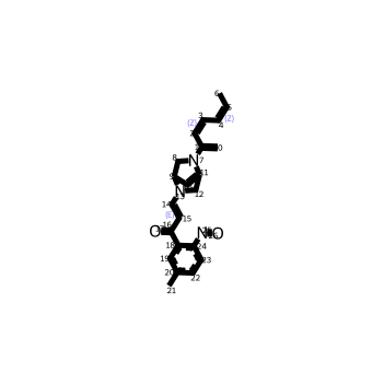 C=C(/C=C\C=C/C)N1CC2C=C1CN2/C=C/C(=O)c1cc(C)ccc1N=O